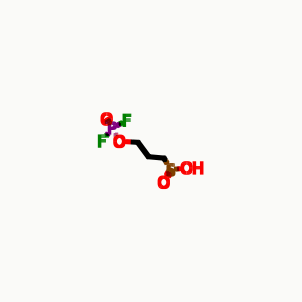 O=S(O)CCCOP(=O)(F)F